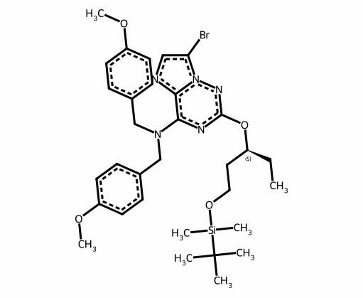 CC[C@@H](CCO[Si](C)(C)C(C)(C)C)Oc1nc(N(Cc2ccc(OC)cc2)Cc2ccc(OC)cc2)c2ncc(Br)n2n1